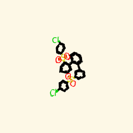 O=S(=O)(c1ccc(Cl)cc1)c1cccc(-c2ccccc2-c2ccccc2S(=O)(=O)c2ccc(Cl)cc2)c1